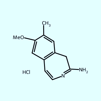 COc1cc2c(cc1C)CC(N)=NC=C2.Cl